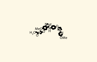 C=CC(=O)N1CC(Oc2cc3c(Nc4ccc(Oc5ccn(-c6ccc(OC)cn6)n5)cc4F)ncnc3cc2OC)C1